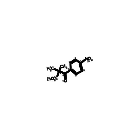 CCOC(=O)C(C)(C)C(=O)c1ccc([N+](=O)[O-])cc1